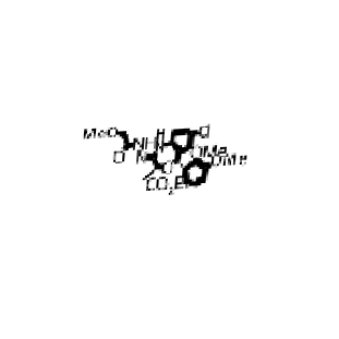 CCOC(=O)C[C@@H]1O[C@@H](c2cccc(OC)c2OC)c2cc(Cl)ccc2NC1=NNC(=O)COC